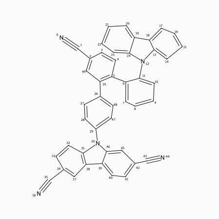 N#Cc1ccc(-c2ccccc2-n2c3ccccc3c3ccccc32)c(-c2ccc(-n3c4ccc(C#N)cc4c4ccc(C#N)cc43)cc2)c1